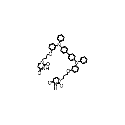 O=c1ccn(CCCOc2cccc(N(c3ccccc3)c3ccc(-c4ccc(N(c5ccccc5)c5cccc(OCCCn6ccc(=O)[nH]c6=O)c5)cc4)cc3)c2)c(=O)[nH]1